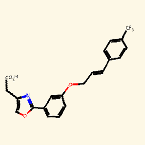 O=C(O)Cc1coc(-c2cccc(OCC=Cc3ccc(C(F)(F)F)cc3)c2)n1